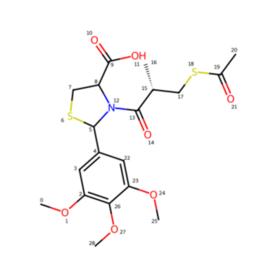 COc1cc(C2SCC(C(=O)O)N2C(=O)[C@H](C)CSC(C)=O)cc(OC)c1OC